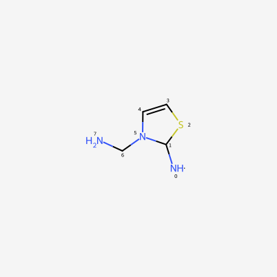 [NH]C1SC=CN1CN